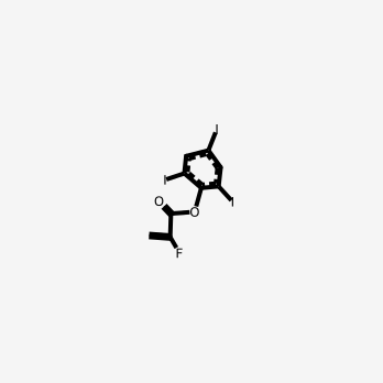 C=C(F)C(=O)Oc1c(I)cc(I)cc1I